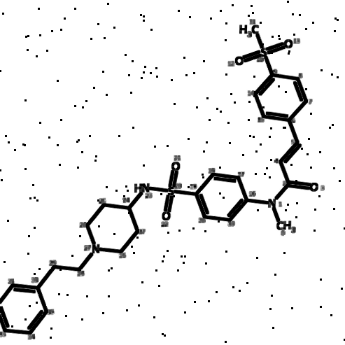 CN(C(=O)C=Cc1ccc(S(C)(=O)=O)cc1)c1ccc(S(=O)(=O)NC2CCN(CCc3ccccc3)CC2)cc1